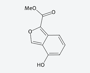 COC(=O)c1occ2c(O)cccc12